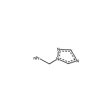 CCCCn1cn[c]n1